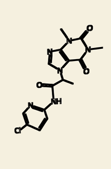 CC(C(=O)Nc1ccc(Cl)cn1)n1cnc2c1c(=O)n(C)c(=O)n2C